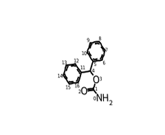 NC(=O)OC(c1ccccc1)c1ccccc1